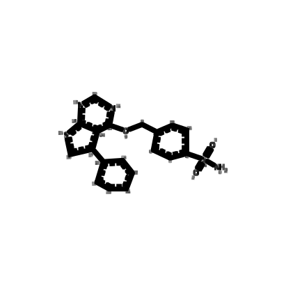 NS(=O)(=O)c1ccc(COc2ncnc3scc(-c4ccccc4)c23)cc1